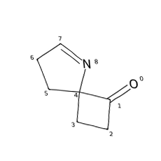 O=C1CCC12CCC=N2